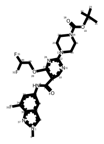 Cn1cc2cc(NC(=O)c3cnc(N4CCN(C(=O)OC(C)(C)C)CC4)nc3OCC(F)F)cc(F)c2n1